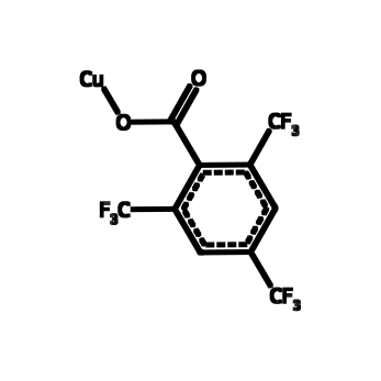 O=C([O][Cu])c1c(C(F)(F)F)cc(C(F)(F)F)cc1C(F)(F)F